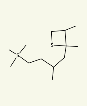 CC(CCS(C)(C)C)CC1(C)SCC1C